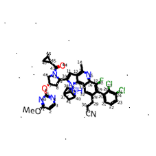 COc1ccnc(OC2CC(c3cc4c(C)nc5c(F)c(-c6cccc(Cl)c6Cl)c(CCC#N)cc5c4n3C3C4CNC3C4)N(C(=O)C3CC3)C2)n1